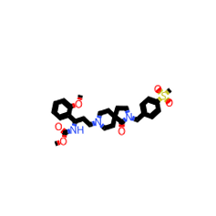 COC(=O)NC(CCN1CCC2(CC1)CCN(Cc1ccc(S(C)(=O)=O)cc1)C2=O)c1ccccc1OC